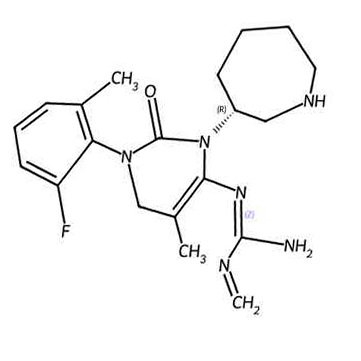 C=N/C(N)=N\C1=C(C)CN(c2c(C)cccc2F)C(=O)N1[C@@H]1CCCCNC1